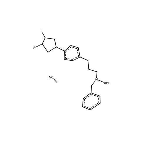 CC#N.CCCN(CCCc1ccc(C2CC(F)C(F)C2)cc1)Cc1ccccc1